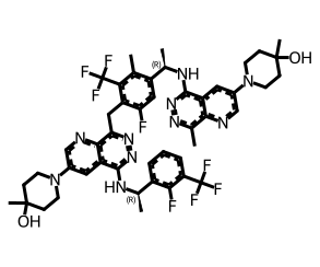 Cc1c([C@@H](C)Nc2nnc(C)c3ncc(N4CCC(C)(O)CC4)cc23)cc(F)c(Cc2nnc(N[C@H](C)c3cccc(C(F)(F)F)c3F)c3cc(N4CCC(C)(O)CC4)cnc23)c1C(F)(F)F